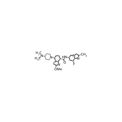 COc1nc2c(C(=O)Nc3cc(F)c4nc(C)cn4c3)ccc(N3CCC(N(C)C)CC3)c2s1